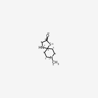 CN1CCC2(CC1)NCC(=O)S2